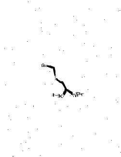 CCCC(O)CSCC(C)(C)C